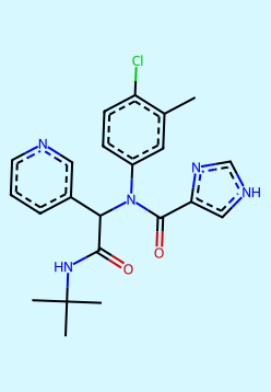 Cc1cc(N(C(=O)c2c[nH]cn2)C(C(=O)NC(C)(C)C)c2cccnc2)ccc1Cl